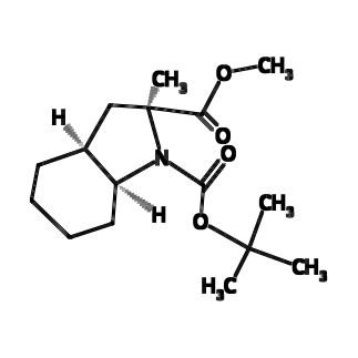 COC(=O)[C@]1(C)C[C@@H]2CCCC[C@@H]2N1C(=O)OC(C)(C)C